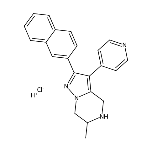 CC1Cn2nc(-c3ccc4ccccc4c3)c(-c3ccncc3)c2CN1.[Cl-].[H+]